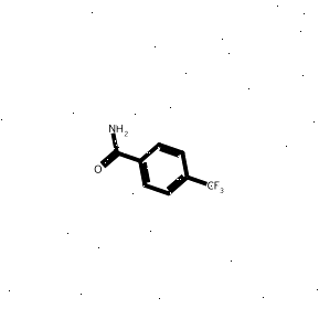 NC(=O)c1ccc(C(F)(F)F)cc1